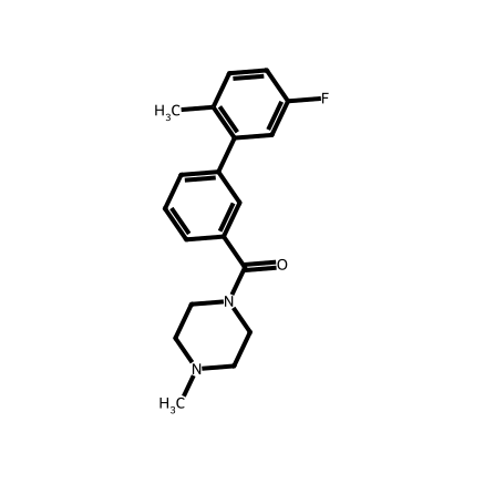 Cc1ccc(F)cc1-c1cccc(C(=O)N2CCN(C)CC2)c1